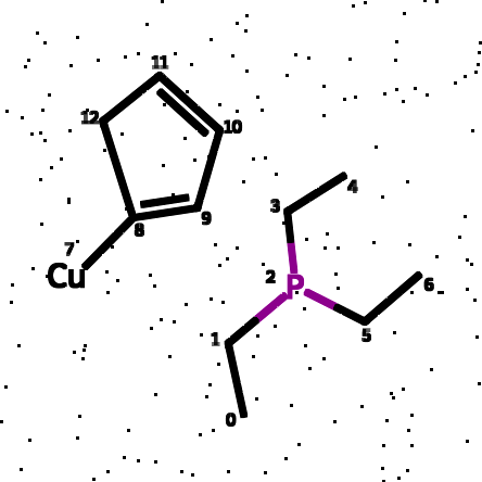 CCP(CC)CC.[Cu][C]1=CC=CC1